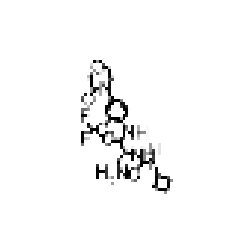 NC[C@H](NC(=O)NC1CCC1)C(=O)Nc1ccc(N2CCOCC2=O)cc1OC(F)F